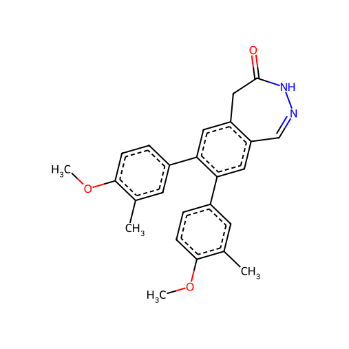 COc1ccc(-c2cc3c(cc2-c2ccc(OC)c(C)c2)CC(=O)NN=C3)cc1C